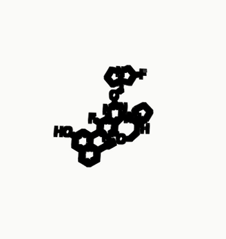 C#Cc1cccc2cc(O)cc(-c3nc4c5c(nc(OC[C@@]67CCCN6CC(F)C7)nc5c3F)N3C5CCC(N5)[C@H]3CCO4)c12